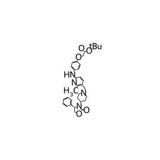 Cc1nc(Nc2ccc(OCC(=O)OC(C)(C)C)cc2)ccc1CN1CCC(N2C(=O)OC[C@H]2c2ccccc2)CC1